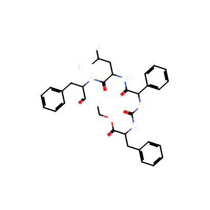 CCOC(=O)C(Cc1ccccc1)NC(=O)NC(C(=O)NC(CC(C)C)C(=O)NC(C=O)Cc1ccccc1)c1ccccc1